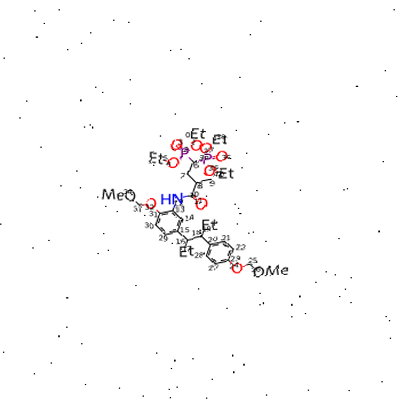 CCOP(=O)(OCC)C(CC(C)C(=O)Nc1cc(C(CC)C(CC)c2ccc(OCOC)cc2)ccc1OCOC)P(=O)(OCC)OCC